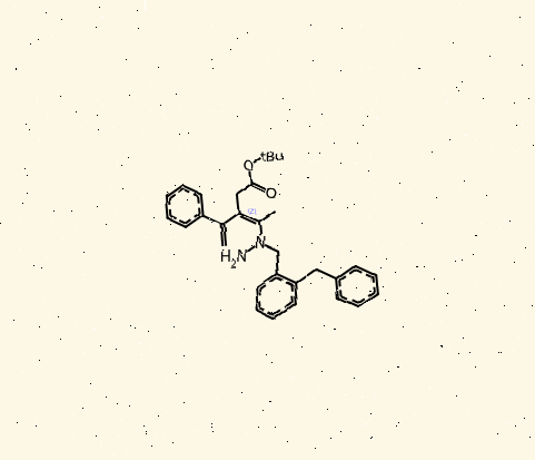 C=C(/C(CC(=O)OC(C)(C)C)=C(/C)N(N)Cc1ccccc1Cc1ccccc1)c1ccccc1